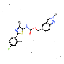 CCc1nc(-c2ccc(F)cc2C)sc1NC(=O)OCc1ccc2nn(CC)cc2c1